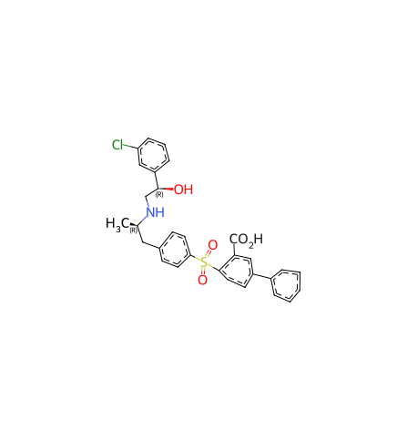 C[C@H](Cc1ccc(S(=O)(=O)c2ccc(-c3ccccc3)cc2C(=O)O)cc1)NC[C@H](O)c1cccc(Cl)c1